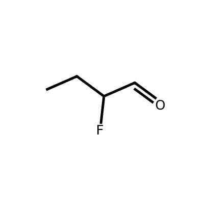 CCC(F)C=O